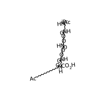 CC(=O)CCCCCCCCCCCCCCCCC(=O)N[C@@H](CCC(=O)NCCOCCOCC(=O)NCCOCCOCC(=O)NCCCC[C@H](NC(C)C)C(C)=O)C(=O)O